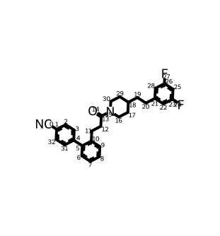 N#Cc1ccc(-c2ccccc2CCC(=O)N2CCC(CCc3cc(F)cc(F)c3)CC2)cc1